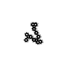 c1ccc(-n2c3ccccc3c3ccc(-c4ccc5c6ccc7ccccc7c6n(-c6cccc(-c7ccc(-c8ccc9c(c8)-c8cccc%10cccc-9c8%10)cc7)c6)c5c4)cc32)cc1